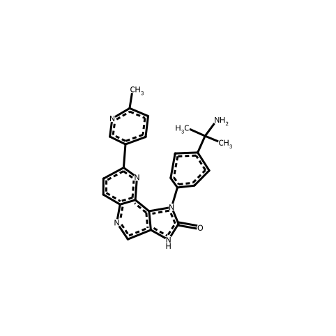 Cc1ccc(-c2ccc3ncc4[nH]c(=O)n(-c5ccc(C(C)(C)N)cc5)c4c3n2)cn1